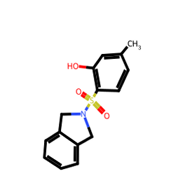 Cc1ccc(S(=O)(=O)N2Cc3ccccc3C2)c(O)c1